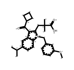 COc1cccc(Cn2c(CC(C)(C)C(=O)O)c(C(=O)C3CCC3)c3cc(C(C)C)ccc32)c1